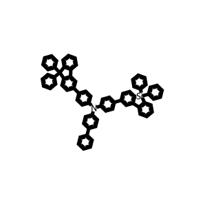 c1ccc(-c2ccc(N(c3ccc(-c4ccc5c(c4)-c4ccccc4C5(c4ccccc4)c4ccccc4)cc3)c3ccc(-c4ccc5c(c4)-c4ccccc4[Si]5(c4ccccc4)c4ccccc4)cc3)cc2)cc1